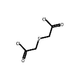 O=C(Cl)CSCC(=O)Cl